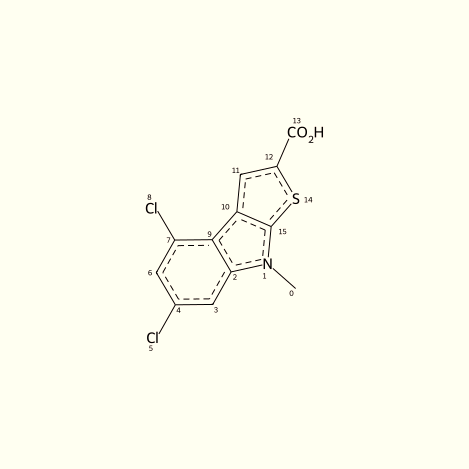 Cn1c2cc(Cl)cc(Cl)c2c2cc(C(=O)O)sc21